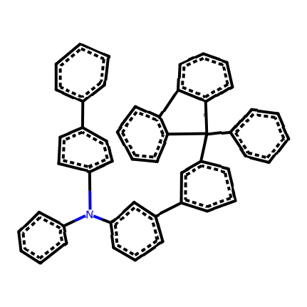 c1ccc(-c2ccc(N(c3ccccc3)c3cccc(-c4cccc(C5(c6ccccc6)c6ccccc6-c6ccccc65)c4)c3)cc2)cc1